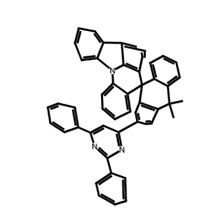 CC1(C)c2ccccc2C2(c3ccccc3-n3c4ccccc4c4cccc2c43)c2cc(-c3cc(-c4ccccc4)nc(-c4ccccc4)n3)ccc21